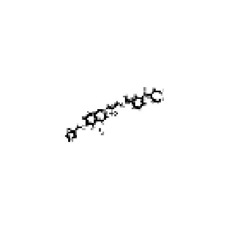 Cc1c(OCc2cnco2)ccc2c1CCN(C[C@@H](O)CNC(=O)c1cccc(NC3CCOCC3)c1)C2